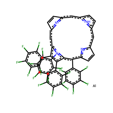 Fc1c(F)c(F)c(-c2c(-c3c(F)c(F)c(F)c(F)c3F)c3c(-c4c(F)c(F)c(F)c(F)c4F)c4nc(cc5ccc(cc6nc(cc2n3-c2c(F)c(F)c(F)c(F)c2F)C=C6)[nH]5)C=C4)c(F)c1F.[Al]